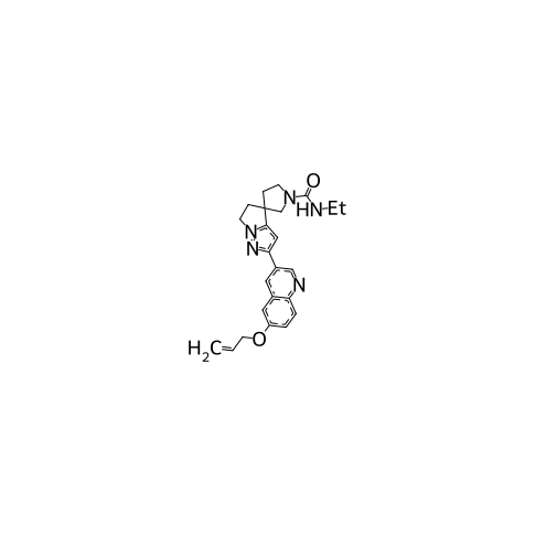 C=CCOc1ccc2ncc(-c3cc4n(n3)CCC43CCN(C(=O)NCC)C3)cc2c1